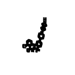 CC1(C)c2ccc(C3CCN(C4CC5(CNC5)C4)CC3)cc2-n2c1nc(=O)c1c(Cl)cccc12